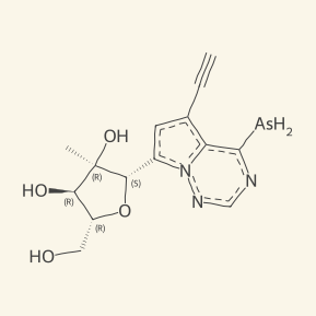 C#Cc1cc([C@@H]2O[C@H](CO)[C@@H](O)[C@@]2(C)O)n2ncnc([AsH2])c12